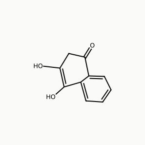 O=C1CC(O)=C(O)c2ccccc21